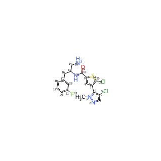 Cn1ncc(Cl)c1-c1cc(C(=O)NC(CN)Cc2cccc(F)c2)sc1Cl